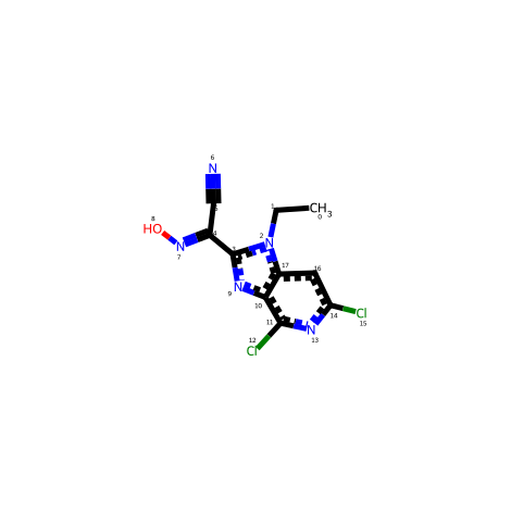 CCn1c(C(C#N)=NO)nc2c(Cl)nc(Cl)cc21